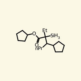 CCCC(C1CCCC1)C([SiH3])(CC)C(=O)OC1CCCC1